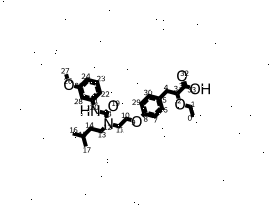 CCOC(Cc1ccc(OCCN(CCC(C)C)C(=O)Nc2cccc(OC)c2)cc1)C(=O)O